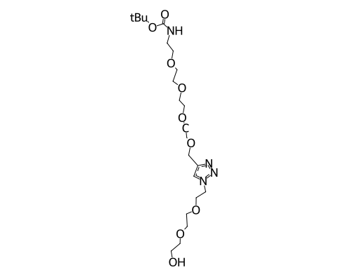 CC(C)(C)OC(=O)NCCOCCOCCOCCOCc1cn(CCOCCOCCO)nn1